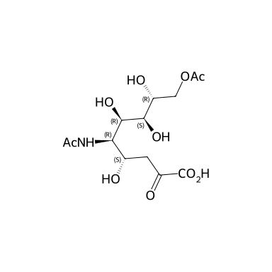 CC(=O)N[C@@H]([C@@H](O)[C@H](O)[C@H](O)COC(C)=O)[C@@H](O)CC(=O)C(=O)O